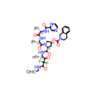 CCC[C@H](NC(=O)[C@@H]1C[C@@H](OC(=O)N2CCc3ccccc3C2)CN1C(=O)[C@@H](NC(=O)[C@@H](NC(=O)c1cnccn1)C(C)C)C(C)C)C(=O)C(F)(F)C(=O)NCC=O